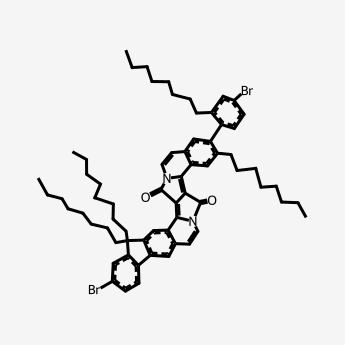 CCCCCCCCc1cc(Br)ccc1-c1cc2c(cc1CCCCCCCC)C1=C3C(=O)N4C=Cc5cc6c(cc5C4=C3C(=O)N1C=C2)C(CCCCCCCC)(CCCCCCCC)c1cc(Br)ccc1-6